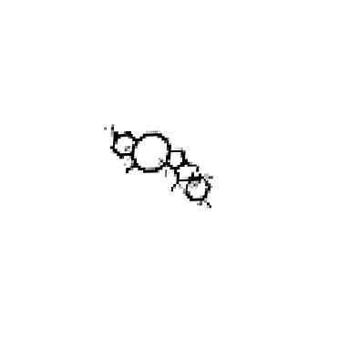 CC1CC[C@@]2(C)C(CCCC3CC(=O)CC[C@]13C)CC1O[C@@]3(CC[C@H](C)CN3)[C@@H](C)C12